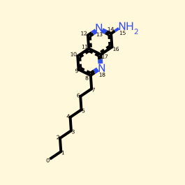 CCCCCCCCc1ccc2cnc(N)cc2n1